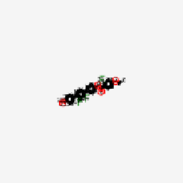 CCOc1ccc(C(=O)Oc2ccc(-c3ccc(-c4ccc(OC)cc4)c(F)c3F)cc2)c(F)c1